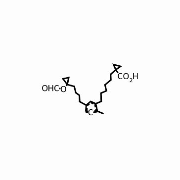 Cc1ccc(CCCCC2(OC=O)CC2)cc1CCCCCCC1(C(=O)O)CC1